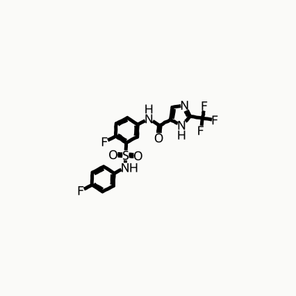 O=C(Nc1ccc(F)c(S(=O)(=O)Nc2ccc(F)cc2)c1)c1cnc(C(F)(F)F)[nH]1